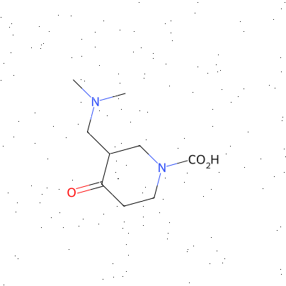 CN(C)CC1CN(C(=O)O)CCC1=O